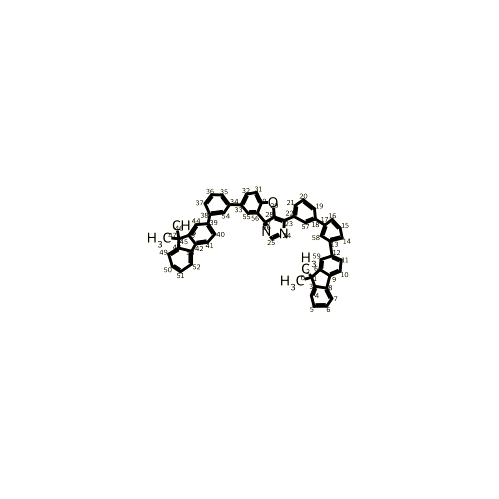 CC1(C)c2ccccc2-c2ccc(-c3cccc(-c4cccc(-c5ncnc6c5oc5ccc(-c7cccc(-c8ccc9c(c8)C(C)(C)c8ccccc8-9)c7)cc56)c4)c3)cc21